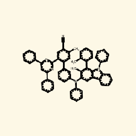 Cc1cc(-c2cccc(N(c3ccccc3)c3cc4c5ccccc5n(-c5ccccc5)c4c(-c4ccccc4C)c3C)c2)c(-c2nc(-c3ccccc3)cc(-c3ccccc3)n2)cc1C#N